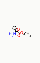 CCOC(=O)c1oc2c(c1N)CCC2